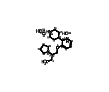 CC[C@H](COC1=CC=CNC1C1CCNCC1)N1CCCC1.Cl.Cl.Cl